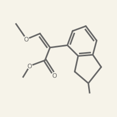 COC=C(C(=O)OC)c1cccc2c1CC(C)C2